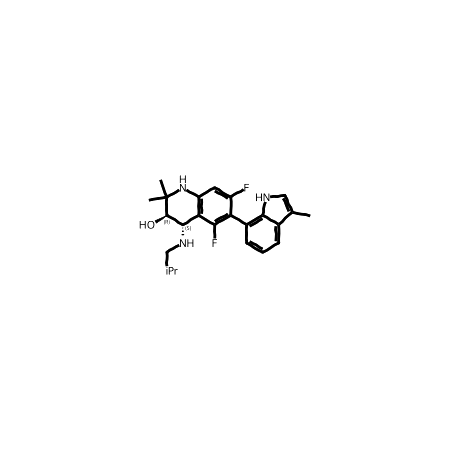 Cc1c[nH]c2c(-c3c(F)cc4c(c3F)[C@H](NCC(C)C)[C@@H](O)C(C)(C)N4)cccc12